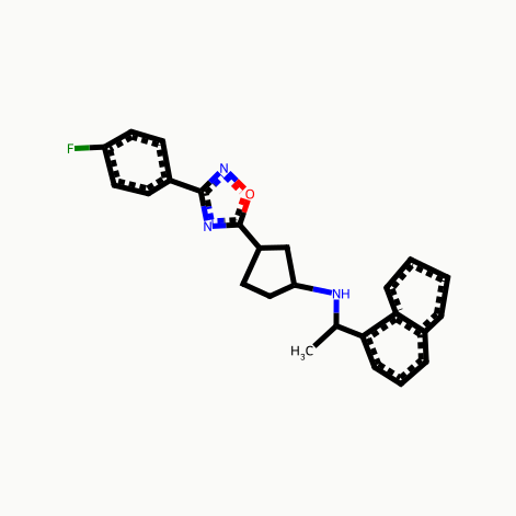 CC(NC1CCC(c2nc(-c3ccc(F)cc3)no2)C1)c1cccc2ccccc12